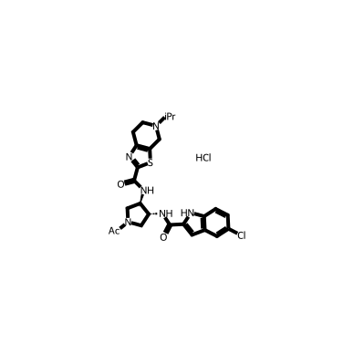 CC(=O)N1C[C@@H](NC(=O)c2cc3cc(Cl)ccc3[nH]2)[C@H](NC(=O)c2nc3c(s2)CN(C(C)C)CC3)C1.Cl